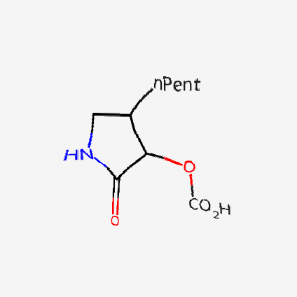 CCCCCC1CNC(=O)C1OC(=O)O